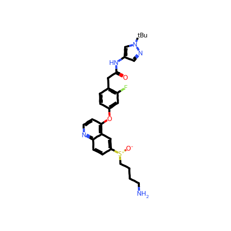 CC(C)(C)n1cc(NC(=O)Cc2ccc(Oc3ccnc4ccc([S+]([O-])CCCCN)cc34)cc2F)cn1